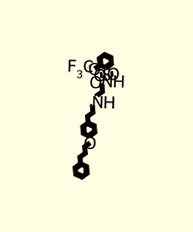 O=C(CCNCCCc1ccc(OCCCc2ccccc2)cc1)NS(=O)(=O)c1ccccc1OC(F)(F)F